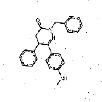 CNc1ccc(C2=NN(Cc3ccccc3)C(=O)CC2c2ccccc2)cc1